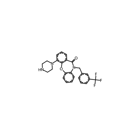 O=C1c2cccc(N3CCNCC3)c2Oc2ccccc2N1Cc1cccc(C(F)(F)F)c1